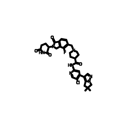 CC1(C)Cc2c(-c3cc(NC(=O)C4CCN(Cc5ccc6c(c5F)CN(C5CCC(=O)NC5=O)C6=O)CC4)ncc3Cl)cnn2C1